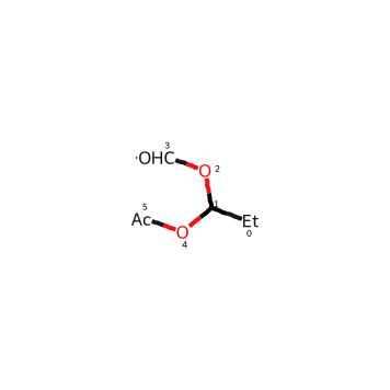 CCC(O[C]=O)OC(C)=O